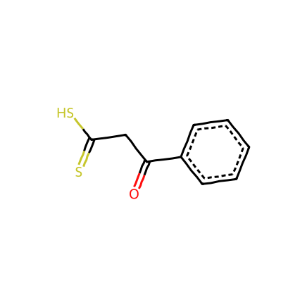 O=C(CC(=S)S)c1ccccc1